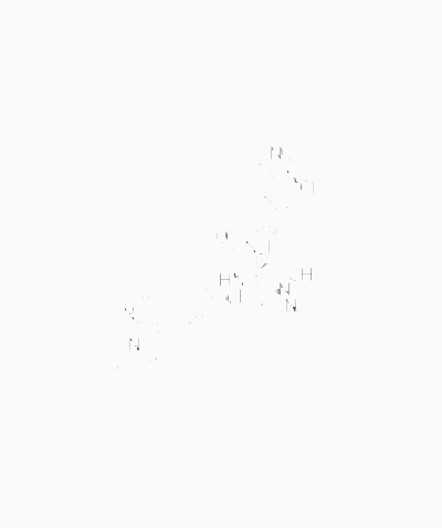 Cn1cncc1-c1ccc(NC(=O)C(Cc2cc(-c3ccnc(N4CCCC4)c3)ccc2Cl)NC(=O)c2ccnn2C)cc1